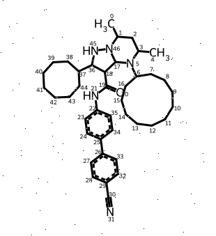 CC1CC(C)N(C2CCCCCCCCCC2)C2C(C(=O)Nc3ccc(-c4ccc(C#N)cc4)cc3)C(C3CCCCCCC3)NN12